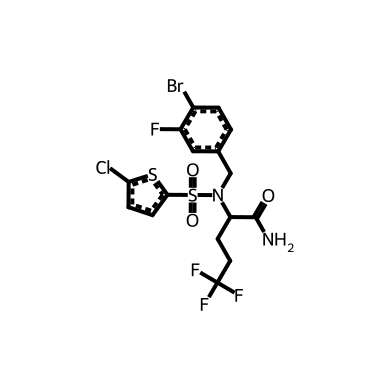 NC(=O)C(CCC(F)(F)F)N(Cc1ccc(Br)c(F)c1)S(=O)(=O)c1ccc(Cl)s1